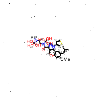 COc1cc2c(cc1C=C(C)C)-c1c(c(C(=O)N(CCN(C(C)=O)C(O)(O)O)C(O)(O)O)nn1-c1ccsc1)CO2